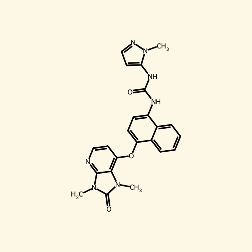 Cn1nccc1NC(=O)Nc1ccc(Oc2ccnc3c2n(C)c(=O)n3C)c2ccccc12